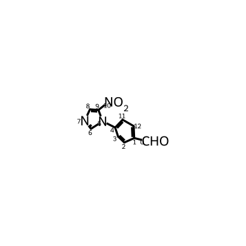 O=Cc1ccc(-n2cncc2[N+](=O)[O-])cc1